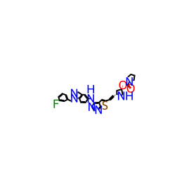 O=C(O[C@@H]1CN[C@H](C#Cc2cc3c(Nc4ccc5c(cnn5Cc5cccc(F)c5)c4)ncnc3s2)C1)N1CCCC1